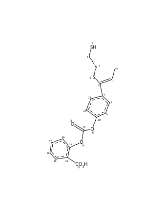 C/C=C(\SSCS)c1ccc(OC(=O)Oc2ccccc2C(=O)O)cc1